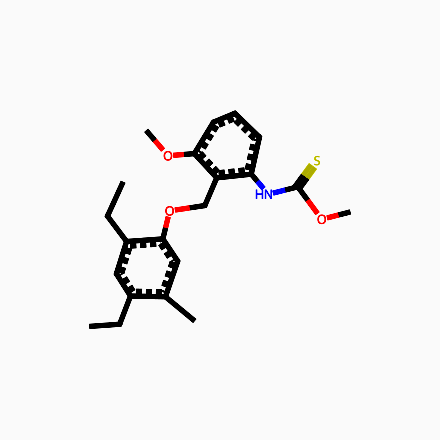 CCc1cc(CC)c(OCc2c(NC(=S)OC)cccc2OC)cc1C